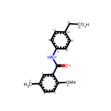 COc1ccc(C)cc1C(=O)Nc1ccc(CC(=O)O)cc1